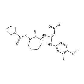 COc1ccc(NC(=C[N+](=O)[O-])N[C@H]2CCCCN(CC(=O)N3CCCC3)C2=O)cc1C